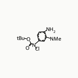 CNc1cc(N(Cl)C(=O)OC(C)(C)C)ccc1N